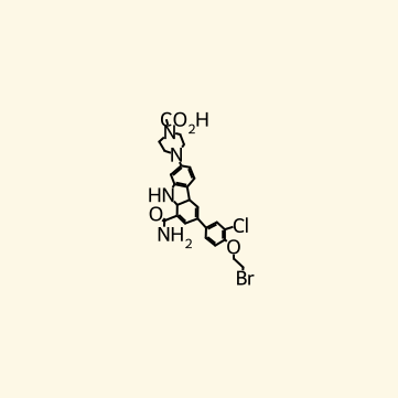 NC(=O)C1=CC(c2ccc(OCCBr)c(Cl)c2)=CC2c3ccc(N4CCN(C(=O)O)CC4)cc3NC12